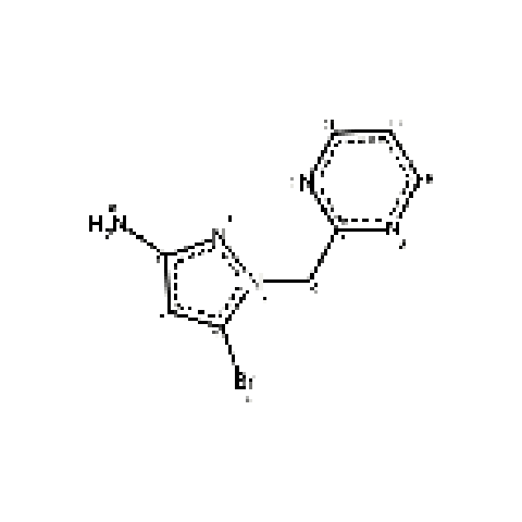 Nc1cc(Br)n(Cc2ncccn2)n1